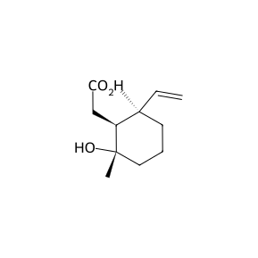 C=C[C@@]1(C)CCC[C@](C)(O)[C@H]1CC(=O)O